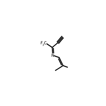 C#C/C(=N\C=C(C)C)C(F)(F)F